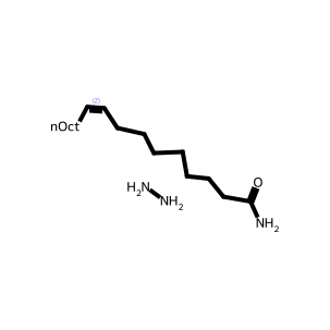 CCCCCCCC/C=C\CCCCCCCC(N)=O.NN